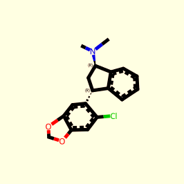 CN(C)[C@@H]1C[C@@H](c2cc3c(cc2Cl)OCO3)c2ccccc21